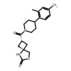 Cc1cc(C(F)(F)F)ccc1C1CCN(C(=O)[C@H]2C[C@]3(COC(=O)N3)C2)CC1